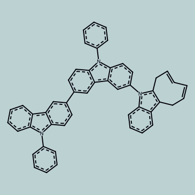 C1=C\Cc2c(n(-c3ccc4c(c3)c3cc(-c5ccc6c(c5)c5ccccc5n6-c5ccccc5)ccc3n4-c3ccccc3)c3ccccc23)C/C=C/1